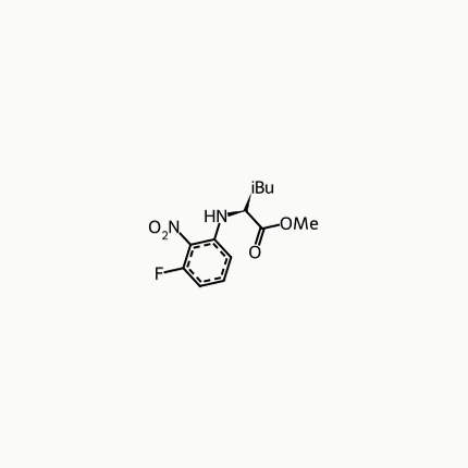 CC[C@H](C)[C@H](Nc1cccc(F)c1[N+](=O)[O-])C(=O)OC